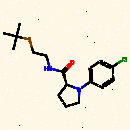 CC(C)(C)SCCNC(=O)[C@@H]1CCCN1c1ccc(Cl)cc1